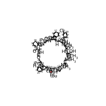 CC(C)C[C@H]1C(=O)N[C@@H](COC(C)(C)C)C(=O)N(C)[C@@H](Cc2ccccc2)C(=O)N(C)[C@@H](C(C)C)COCN[C@H](C(=O)N2CCCCC2)CC(=O)N[C@H](C(C)C)C(=O)N(C)[C@@H](Cc2ccccc2)C(=O)N[C@@H](COc2cccc(Cl)c2)C(O)N(C)[C@@H](C)C(=O)N[C@@H]([C@@H](C)O)C(=O)N(C)CC(=O)N1C